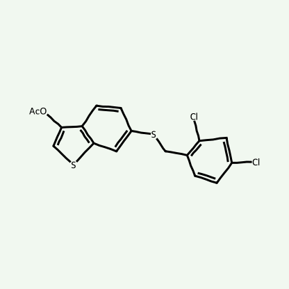 CC(=O)Oc1csc2cc(SCc3ccc(Cl)cc3Cl)ccc12